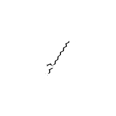 CCCCCCCCCCCCN(CCCN)CC(=O)O